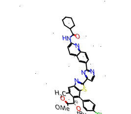 COC(=O)[C@@H](OC(C)(C)C)c1c(C)cc2nc(-c3ccnc(-c4ccc5nc(NC(=O)C6CCCCC6)ccc5c4)n3)sc2c1-c1ccc(Cl)cc1